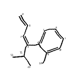 C=C/C=C(\c1ccccc1C)C(C)C